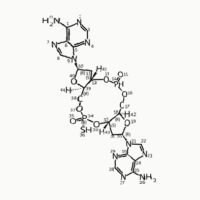 Nc1ncnc2c1ncn2[C@H]1C[C@@H]2O[PH](=O)OC[C@H]3O[C@@H](n4cnc5c(N)ncnc54)C[C@@H]3O[P@](=O)(S)OC[C@H]2O1